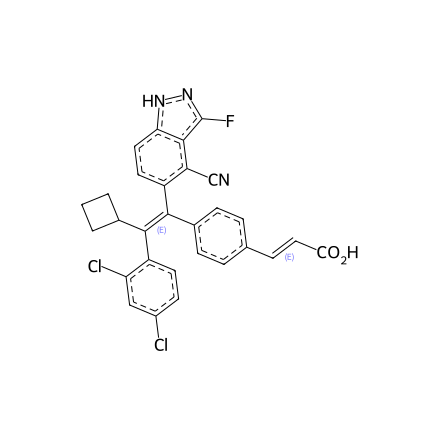 N#Cc1c(/C(=C(/c2ccc(Cl)cc2Cl)C2CCC2)c2ccc(/C=C/C(=O)O)cc2)ccc2[nH]nc(F)c12